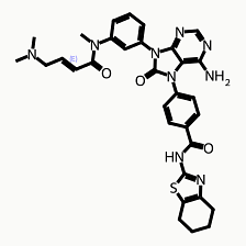 CN(C)C/C=C/C(=O)N(C)c1cccc(-n2c(=O)n(-c3ccc(C(=O)Nc4nc5c(s4)CCCC5)cc3)c3c(N)ncnc32)c1